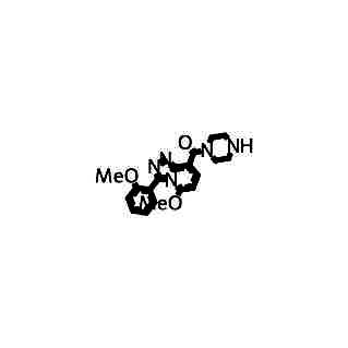 COc1ccccc1-c1nnc2c(C(=O)N3CCNCC3)ccc(OC)n12